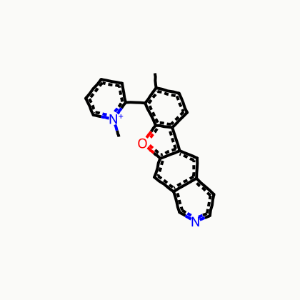 Cc1ccc2c(oc3cc4cnccc4cc32)c1-c1cccc[n+]1C